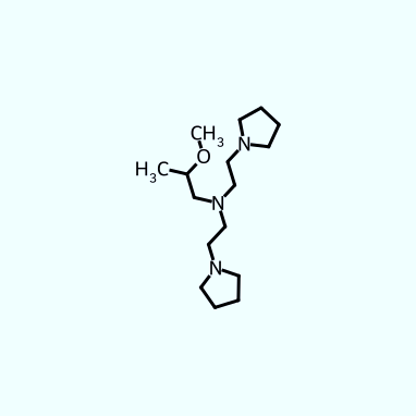 COC(C)CN(CCN1CCCC1)CCN1CCCC1